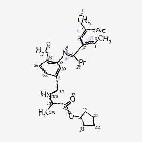 C/C=C(\C=C(\C)C(C)=O)C(=N/c1cc(CNC(C)C(=O)OC2CCCC2)ccc1C)/C(C)C